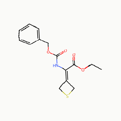 CCOC(=O)C(NC(=O)OCc1ccccc1)=C1CSC1